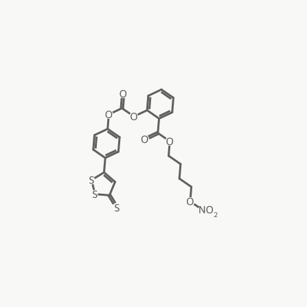 O=C(Oc1ccc(-c2cc(=S)ss2)cc1)Oc1ccccc1C(=O)OCCCCO[N+](=O)[O-]